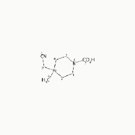 CC1(CC#N)CCN(C(=O)O)CC1